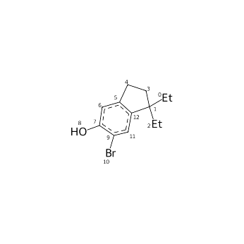 CCC1(CC)CCc2cc(O)c(Br)cc21